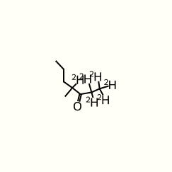 [2H]C(C)(CCC)C(=O)C([2H])([2H])C([2H])([2H])[2H]